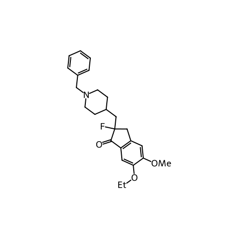 CCOc1cc2c(cc1OC)CC(F)(CC1CCN(Cc3ccccc3)CC1)C2=O